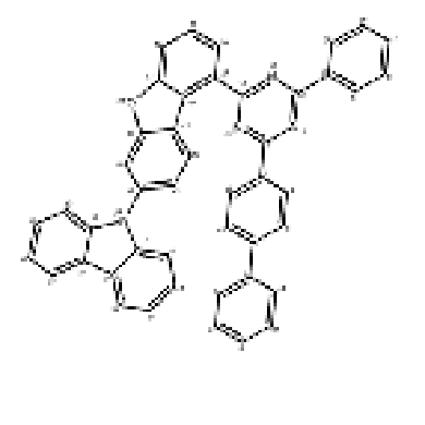 c1ccc(-c2ccc(-c3nc(-c4ccccc4)nc(-c4cccc5oc6cc(-n7c8ccccc8c8ccccc87)ccc6c45)n3)cc2)cc1